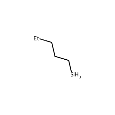 [CH2]CCCC[SiH3]